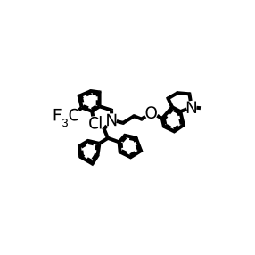 CN1CCCc2c(OCCCN(Cc3cccc(C(F)(F)F)c3Cl)CC(c3ccccc3)c3ccccc3)cccc21